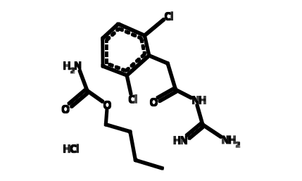 CCCCOC(N)=O.Cl.N=C(N)NC(=O)Cc1c(Cl)cccc1Cl